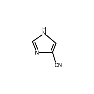 N#Cc1c[nH]cn1